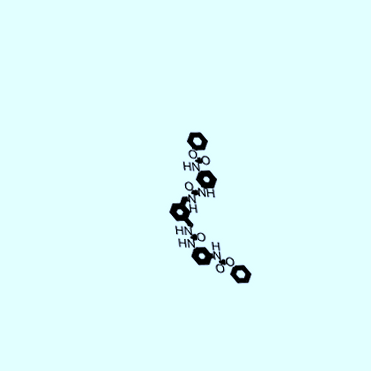 O=C(NCc1cccc(CNC(=O)Nc2cccc(NC(=O)OC3CCCCC3)c2)c1)Nc1cccc(NC(=O)OC2CCCCC2)c1